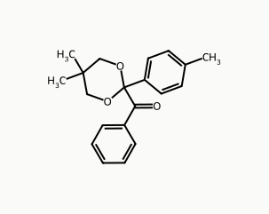 Cc1ccc(C2(C(=O)c3ccccc3)OCC(C)(C)CO2)cc1